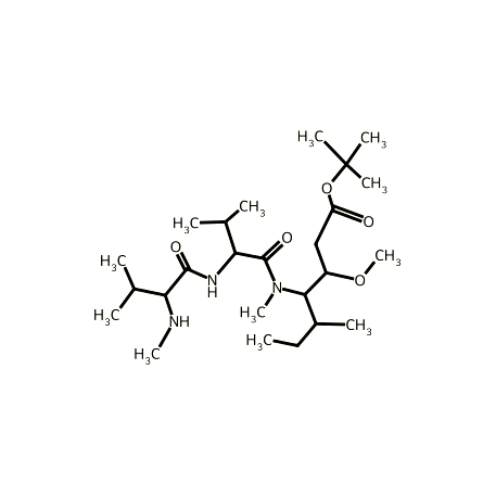 CCC(C)C(C(CC(=O)OC(C)(C)C)OC)N(C)C(=O)C(NC(=O)C(NC)C(C)C)C(C)C